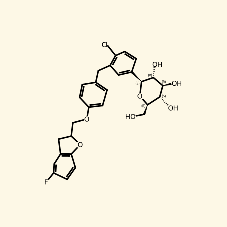 OC[C@H]1O[C@@H](c2ccc(Cl)c(Cc3ccc(OCC4Cc5cc(F)ccc5O4)cc3)c2)[C@H](O)[C@@H](O)[C@@H]1O